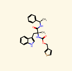 C[C@@H](NC(=O)[C@@](C)(Cc1c[nH]c2ccccc12)NC(=O)OCc1ccsc1)c1ccccc1